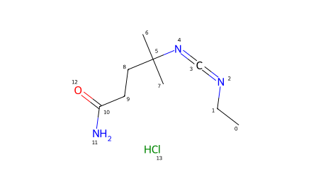 CCN=C=NC(C)(C)CCC(N)=O.Cl